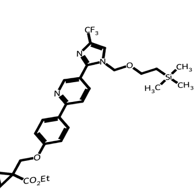 CCOC(=O)C1(COc2ccc(-c3ccc(-c4nc(C(F)(F)F)cn4COCC[Si](C)(C)C)cn3)cc2)CC1